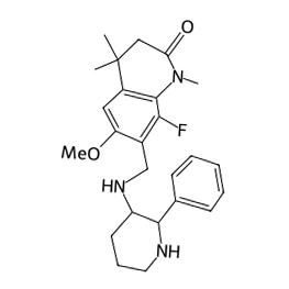 COc1cc2c(c(F)c1CNC1CCCNC1c1ccccc1)N(C)C(=O)CC2(C)C